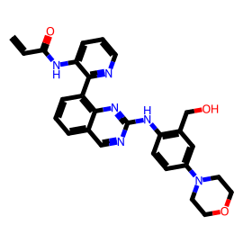 C=CC(=O)Nc1cccnc1-c1cccc2cnc(Nc3ccc(N4CCOCC4)cc3CO)nc12